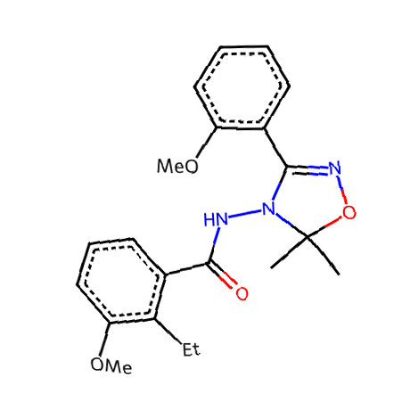 CCc1c(OC)cccc1C(=O)NN1C(c2ccccc2OC)=NOC1(C)C